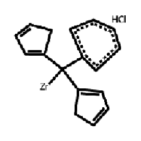 Cl.[Zr][C](C1=CC=CC1)(C1=CC=CC1)c1ccccc1